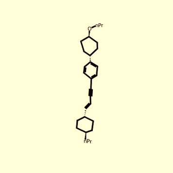 CCCO[C@H]1CC[C@H](c2ccc(C#C/C=C/[C@H]3CC[C@H](CCC)CC3)cc2)CC1